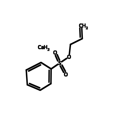 C=CCOS(=O)(=O)c1ccccc1.[CaH2]